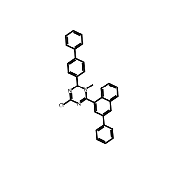 CN1C(c2cc(-c3ccccc3)cc3ccccc23)=NC(Cl)=NC1c1ccc(-c2ccccc2)cc1